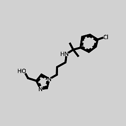 CC(C)(NCCCn1cnc(CO)c1)c1ccc(Cl)cc1